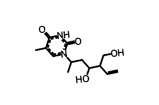 C=CC(CO)C(O)CC(C)n1cc(C)c(=O)[nH]c1=O